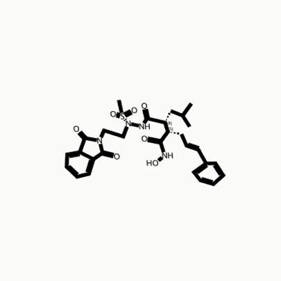 CC(C)C[C@@H](C(=O)NN(CCN1C(=O)c2ccccc2C1=O)S(C)(=O)=O)[C@H](CC=Cc1ccccc1)C(=O)NO